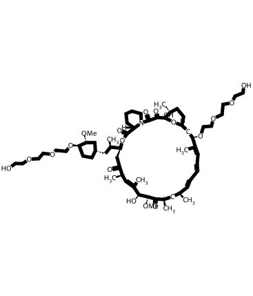 CO[C@@H]1C[C@H](C[C@@H](C)[C@@H]2CC(=O)[C@H](C)/C=C(\C)[C@@H](O)[C@@H](OC)C(=O)[C@H](C)C[C@H](C)/C=C/C=C/C=C(\C)[C@@H](OCCOCCOCCO)C[C@@H]3CC[C@@H](C)[C@@](O)(O3)C(=O)C(=O)N3CCCC[C@H]3C(=O)O2)CC[C@H]1OCCOCCOCCO